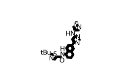 Cn1cc(Nc2cc(-c3ccc4c(c3)CCCC4NC(=O)c3cnc(C(C)(C)C)s3)ncn2)cn1